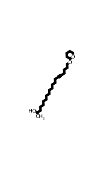 CC(O)CCCCCCCCCCCCC#CCCCCOC1CCCCO1